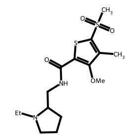 CCN1CCCC1CNC(=O)c1sc(S(C)(=O)=O)c(C)c1OC